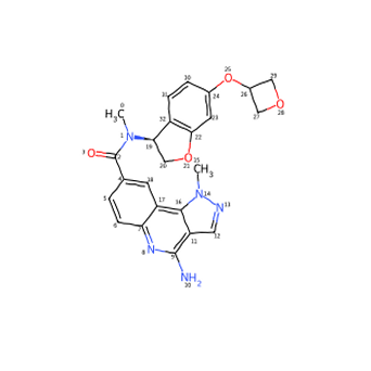 CN(C(=O)c1ccc2nc(N)c3cnn(C)c3c2c1)[C@@H]1COc2cc(OC3COC3)ccc21